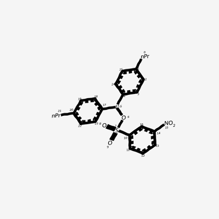 CCCc1ccc([I+](OS(=O)(=O)c2cccc([N+](=O)[O-])c2)c2ccc(CCC)cc2)cc1